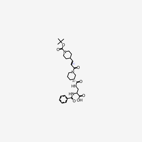 CC(C)(C)OC(=O)N1CCC(/C=C/C(=O)N2CCC[C@@H](C(=O)NCC(NC(=O)c3ccccc3)C(=O)O)C2)CC1